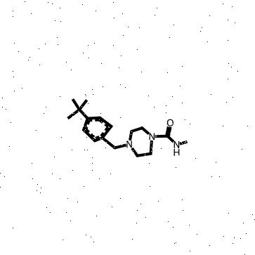 CNC(=O)N1CCN(Cc2ccc(C(C)(C)C)cc2)CC1